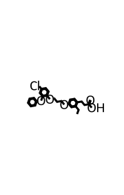 CCc1cc(OCCCOc2ccc(Cl)cc2Oc2ccccc2)ccc1CCC(=O)O